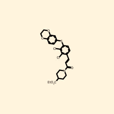 CCOC(=O)C1CCN(C(=O)C=Cc2ccc(Sc3ccc4c(c3)OCCO4)c(Cl)c2Cl)CC1